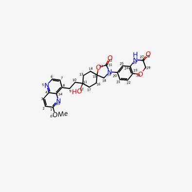 COc1ccc2nccc(CCC3(O)CCC4(CC3)CN(c3ccc5c(c3)NC(=O)CO5)C(=O)O4)c2n1